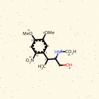 COc1cc(C(C)C(CO)NC(=O)O)c([N+](=O)[O-])cc1OC